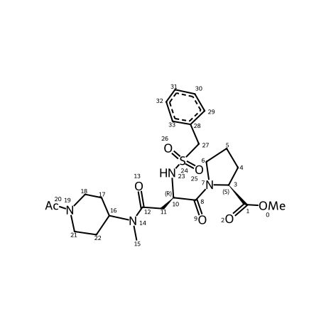 COC(=O)[C@@H]1CCCN1C(=O)[C@@H](CC(=O)N(C)C1CCN(C(C)=O)CC1)NS(=O)(=O)Cc1ccccc1